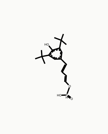 CC(C)(C)c1cc(C=CC=CO[PH](=O)O)cc(C(C)(C)C)c1O